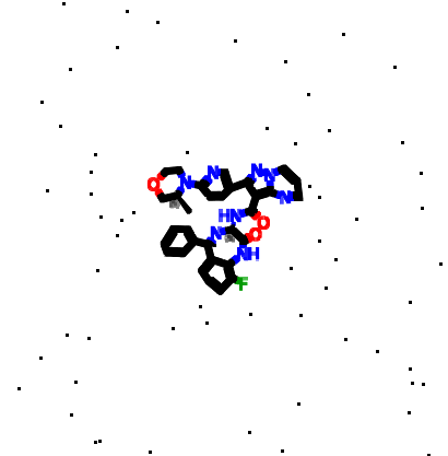 C[C@H]1COCCN1c1ccc(-c2nn3cccnc3c2C(=O)N[C@H]2N=C(c3ccccc3)c3cccc(F)c3NC2=O)cn1